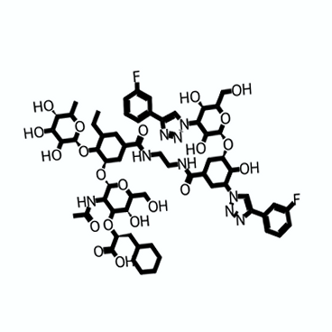 CCC1CC(C(=O)NCCNC(=O)C2CC(n3cc(-c4cccc(F)c4)nn3)C(O)[C@H](O[C@@H]3OC(CO)[C@H](O)C(n4cc(-c5cccc(F)c5)nn4)C3O)C2)C[C@@H](O[C@@H]2OC(CO)[C@H](O)C(O[C@@H](CC3CCCCC3)C(=O)O)C2NC(C)=O)C1O[C@@H]1OC(C)[C@@H](O)C(O)C1O